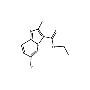 CCOC(=O)c1c(C)nc2ccc(Br)cn12